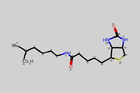 CC(C)(C)C(CCCCNC(=O)CCCCC1SCC2NC(=O)NC21)C(=O)O